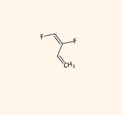 C=C/C(F)=[C]\F